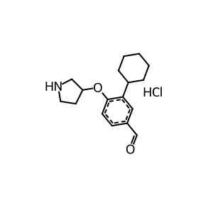 Cl.O=Cc1ccc(OC2CCNC2)c(C2CCCCC2)c1